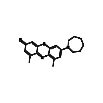 Cc1cc(=O)cc2sc3cc(N4CCCCCC4)cc(C)c3nc1-2